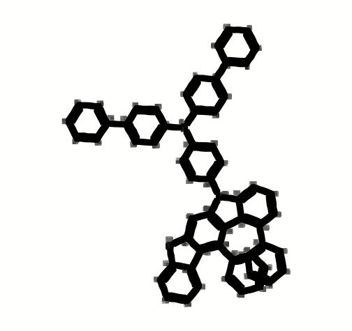 c1ccc(-c2ccc(N(c3ccc(-c4ccccc4)cc3)c3ccc(-n4c5cccc(-c6ccccc6)c5c5c(-c6ccccc6)c6c(cc54)oc4ccccc46)cc3)cc2)cc1